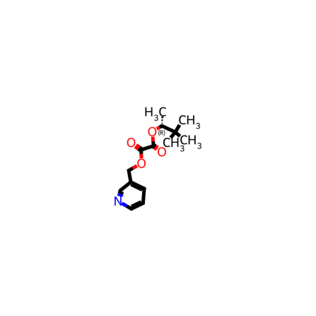 C[C@@H](OC(=O)C(=O)OCc1cccnc1)C(C)(C)C